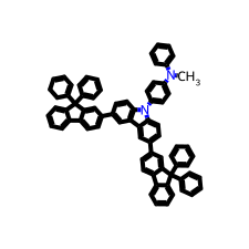 CN(c1ccccc1)c1ccc(-n2c3ccc(-c4ccc5c(c4)C(C4=CC=CCC4)(c4ccccc4)c4ccccc4-5)cc3c3cc(-c4ccc5c(c4)C(c4ccccc4)(c4ccccc4)c4ccccc4-5)ccc32)cc1